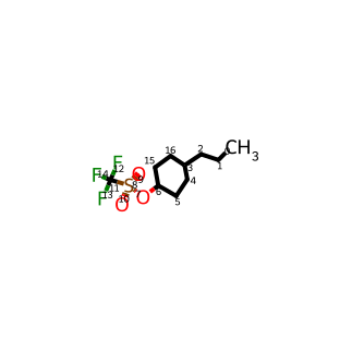 CCCC1CCC(OS(=O)(=O)C(F)(F)F)CC1